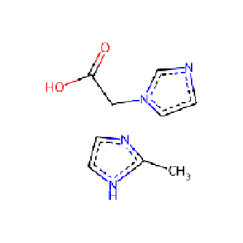 Cc1ncc[nH]1.O=C(O)Cn1ccnc1